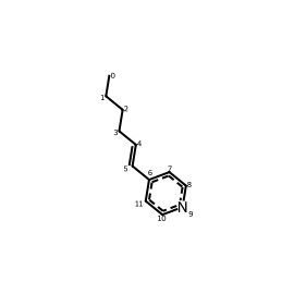 CCCCC=Cc1ccncc1